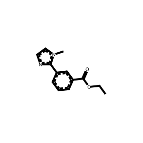 CCOC(=O)c1cccc(-c2nccn2C)c1